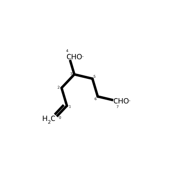 C=CCC([C]=O)CC[C]=O